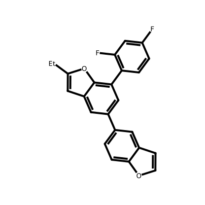 CCc1cc2cc(-c3ccc4occc4c3)cc(-c3ccc(F)cc3F)c2o1